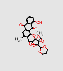 CO[C@@]12Oc3c4c(cc(C)c3C3OC(C5OCCCO5)(OC31)[C@]21CO1)C(=O)c1cccc(O)c1C4=O